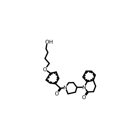 O=C(c1ccc(OCCCCO)cc1)N1CCC(N2C(=O)CCc3ccccc32)CC1